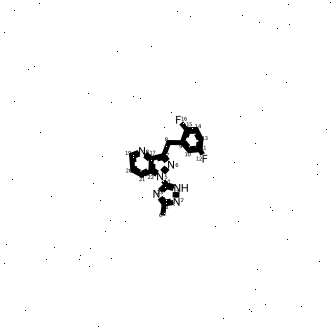 Cc1n[nH]c(-n2nc(Cc3cc(F)ccc3F)c3ncccc32)n1